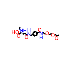 CCN[C@@H](CCC(=O)NCc1ccc(C(=O)NCCOCCOCC(C)=O)cc1)C(=O)O